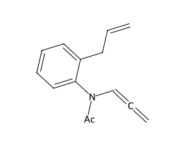 C=C=CN(C(C)=O)c1ccccc1CC=C